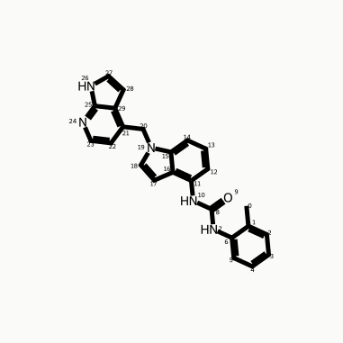 Cc1ccccc1NC(=O)Nc1cccc2c1ccn2Cc1ccnc2[nH]ccc12